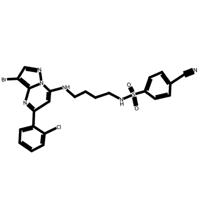 N#Cc1ccc(S(=O)(=O)NCCCCNc2cc(-c3ccccc3Cl)nc3c(Br)cnn23)cc1